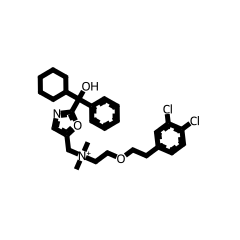 C[N+](C)(CCOCCc1ccc(Cl)c(Cl)c1)Cc1cnc(C(O)(c2ccccc2)C2CCCCC2)o1